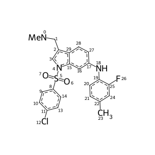 CNCc1cn(S(=O)(=O)c2ccc(Cl)cc2)c2cc(Nc3ccc(C)cc3F)ccc12